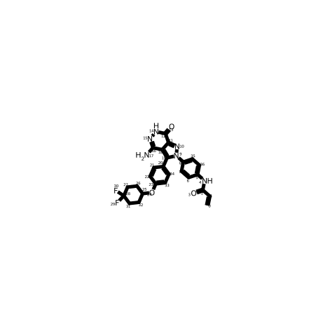 C=CC(=O)Nc1ccc(-n2nc3c(=O)[nH]nc(N)c3c2-c2ccc(OC3CCC(F)(F)CC3)cc2)cc1